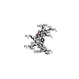 COC[C@H](NC(=O)[C@H](Cc1ccccc1)NC(=O)[C@H](CCCNC(=N)N)NC(=O)[C@H](CCCCN)NC(=O)[C@@H](NC(=O)[C@H](CC(C)C)NC(=O)[C@H](CCC(N)O)NC(=O)[C@H](CCC(N)=O)NC(=O)[C@@H](N)C(C)C)[C@@H](C)O)C(=O)N[C@@H](CC(C)C)C(N)=O